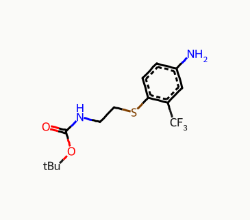 CC(C)(C)OC(=O)NCCSc1ccc(N)cc1C(F)(F)F